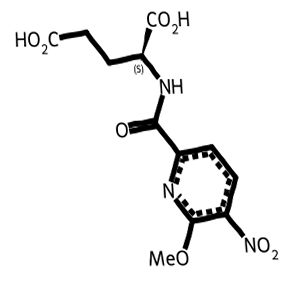 COc1nc(C(=O)N[C@@H](CCC(=O)O)C(=O)O)ccc1[N+](=O)[O-]